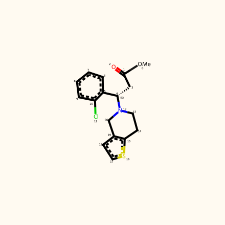 COC(=O)C[C@@H](c1ccccc1Cl)N1CCc2sccc2C1